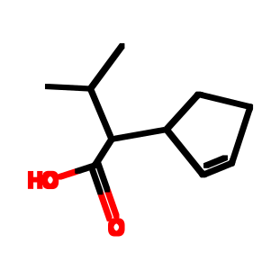 CC(C)C(C(=O)O)C1C=CCC1